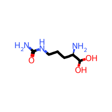 NC(=O)NCCC[C@@H](N)C(O)O